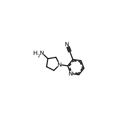 N#Cc1cccnc1N1CCC(N)C1